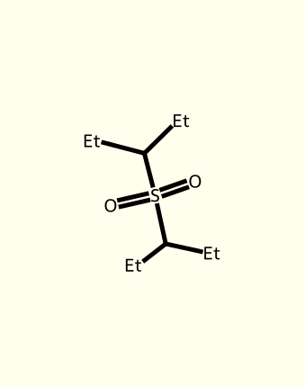 CCC(CC)S(=O)(=O)C(CC)CC